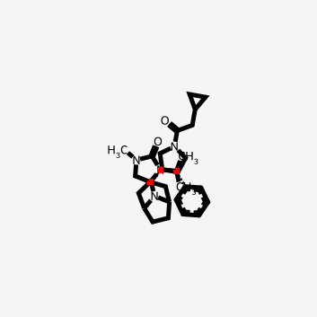 CC(C)N1C(=O)N(C)CC12CC1CCC(C2)N1C[C@H]1CN(C(=O)CC2CC2)C[C@@H]1c1ccccc1